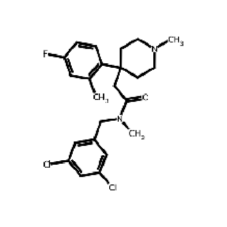 Cc1cc(F)ccc1C1(CC(=O)N(C)Cc2cc(Cl)cc(Cl)c2)CCN(C)CC1